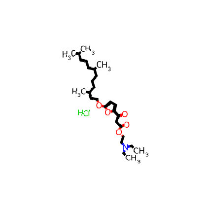 CCN(CC)CCOC(=O)CC(=O)c1ccc(OCCC(C)CCCC(C)CCCC(C)C)o1.Cl